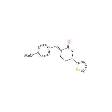 COc1ccc(C=C2CCC(c3cccs3)CC2=O)cc1